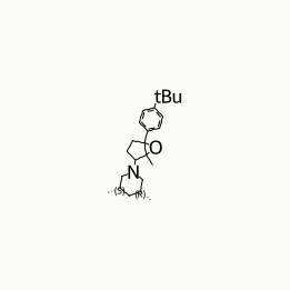 C[C@@H]1C[C@H](C)CN(C2CCC3(c4ccc(C(C)(C)C)cc4)OC23C)C1